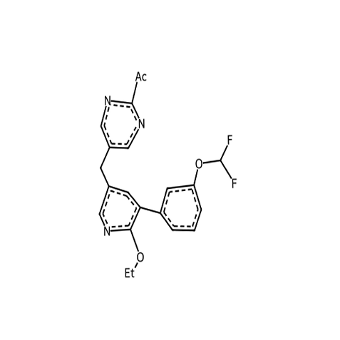 CCOc1ncc(Cc2cnc(C(C)=O)nc2)cc1-c1cccc(OC(F)F)c1